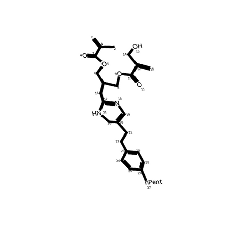 C=C(C)C(=O)OCC(COC(=O)C(=C)CO)CC1=NC=C(CCc2ccc(CCCCC)cc2)CN1